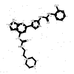 O=C(Nc1ncc(-c2cc(OC(=O)NCCN3CCOCC3)c3cn[nH]c3n2)s1)Nc1ccccc1Cl